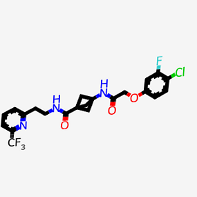 O=C(COc1ccc(Cl)c(F)c1)NC12CC(C(=O)NCCc3cccc(C(F)(F)F)n3)(C1)C2